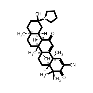 CC1(C)C(=O)C(C#N)=C[C@]2(C)C3=CC(=O)[C@@H]4[C@@H]5CC(C)(N6CCCC6)CC[C@]5(C)CC[C@@]4(C)[C@]3(C)CC[C@@H]12